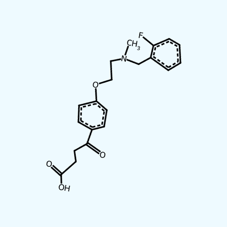 CN(CCOc1ccc(C(=O)CCC(=O)O)cc1)Cc1ccccc1F